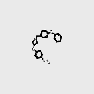 Nc1ccc(OC2CN(Cc3ccc(Oc4ccccc4)cc3)C2)cc1